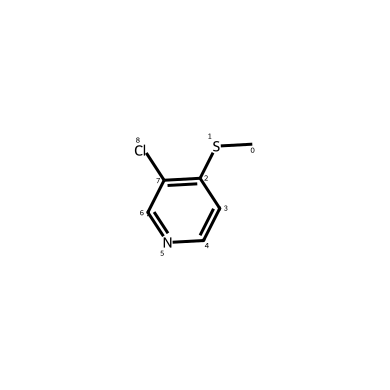 CSc1ccn[c]c1Cl